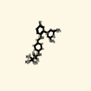 CC1CN(c2cc(F)ccc2NCC2CCC(NS(=O)(=O)C(C)(C)C)CC2)CC(C)O1